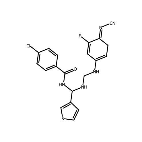 N#CN=C1CC=C(NCNC(NC(=O)c2ccc(Cl)cc2)c2ccsc2)C=C1F